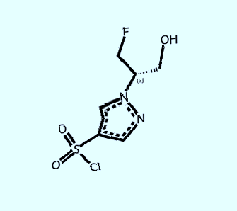 O=S(=O)(Cl)c1cnn([C@@H](CO)CF)c1